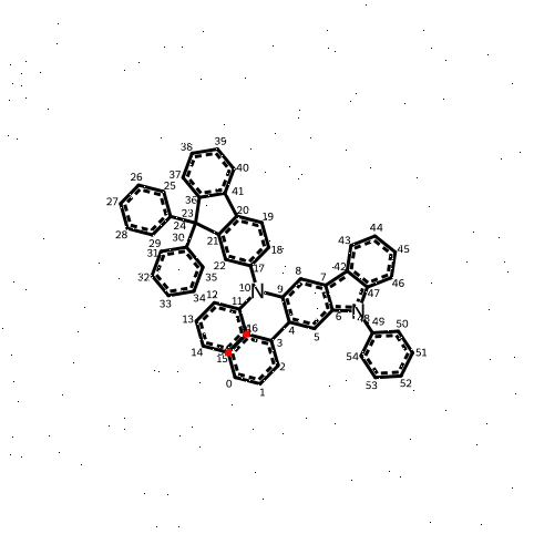 c1ccc(-c2cc3c(cc2N(c2ccccc2)c2ccc4c(c2)C(c2ccccc2)(c2ccccc2)c2ccccc2-4)c2ccccc2n3-c2ccccc2)cc1